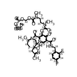 CC1=NO[C@@]2(CC[C@H](C)N3C[C@H]2n2cc(C(=O)NCc4ccc(F)cc4F)c(=O)c(OC(=O)N(C)CCN(C)C(=O)OCOP(=O)(OC(C)(C)C)OC(C)(C)C)c2C3=O)C1